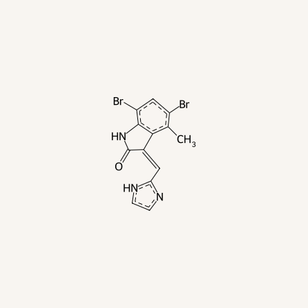 Cc1c(Br)cc(Br)c2c1C(=Cc1ncc[nH]1)C(=O)N2